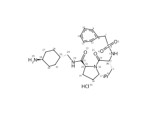 CC(C)C[C@@H](NS(=O)(=O)Cc1ccccc1)C(=O)N1CCC[C@H]1C(=O)NC[C@H]1CC[C@H](N)CC1.Cl